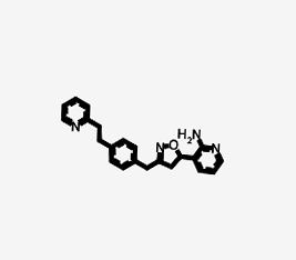 Nc1ncccc1C1CC(Cc2ccc(CCc3ccccn3)cc2)=NO1